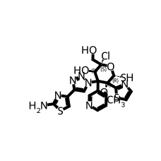 CO[C@@]1(c2nccs2)[C@@H](S)O[C@](Cl)(CO)[C@H](O)C1(c1cccnc1)n1cc(-c2csc(N)n2)nn1